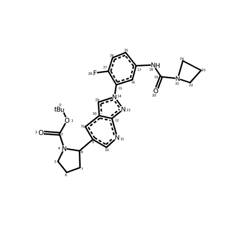 CC(C)(C)OC(=O)N1CCCC1c1cnc2nn(-c3cc(NC(=O)N4CCC4)ccc3F)cc2c1